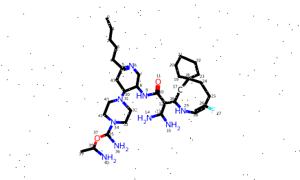 CCCCCC1=NCC(NC(=O)C(C(N)N)C2CC3(CCCCC3)CC/C(F)=C\N2)C(N2CCN(C(N)OC(C)N)CC2)C1